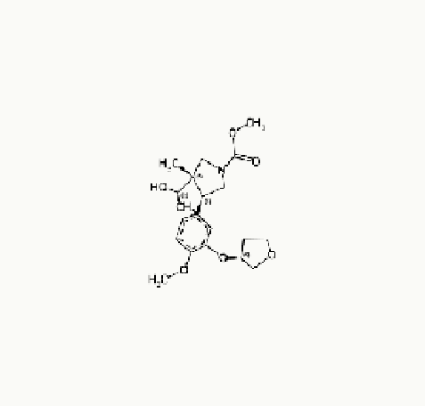 COC(=O)N1C[C@@H](c2ccc(OC)c(O[C@H]3CCOC3)c2)[C@](C)([C@@H](C)O)C1